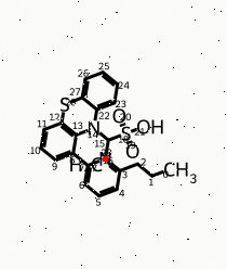 CCCc1cccc(-c2cccc3c2N(C(CC)S(=O)(=O)O)c2ccccc2S3)n1